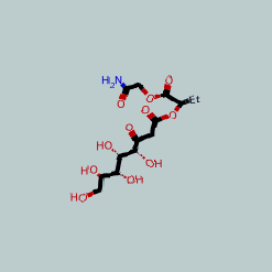 CCC(OC(=O)CC(=O)[C@H](O)[C@@H](O)[C@H](O)[C@H](O)CO)C(=O)OCC(N)=O